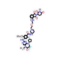 COc1cc(C(=O)NC2CCCN(CCOCCNc3cccc4c3C(=O)N(C3CCC(=O)NC3=O)C4=O)C2)c(F)cc1Nc1ncc2c(n1)N(C1CCCC1)CC(F)(F)C(=O)N2C